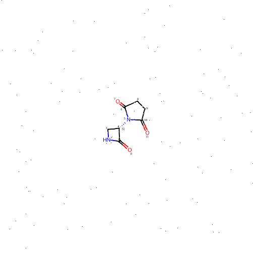 O=C1NC[C@@H]1N1C(=O)CCC1=O